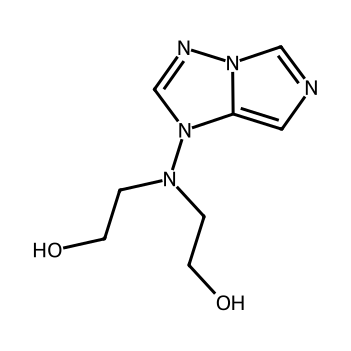 OCCN(CCO)n1cnn2cncc12